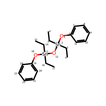 C[CH2][Sn]([CH2]C)([O]c1ccccc1)[O][Sn]([CH2]C)([CH2]C)[O]c1ccccc1